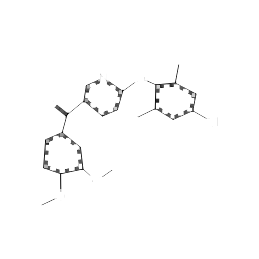 COc1ccc(C(=O)c2ccc(Oc3c(F)cc(Cl)cc3F)nc2)cc1OC